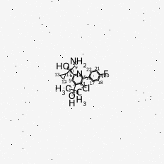 CC(C)(O)c1cc([C@@](O)(CN)C2CC2)nc(-c2ccc(F)cc2)c1Cl